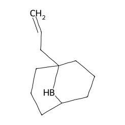 C=CCC12BC(CCC1)CCC2